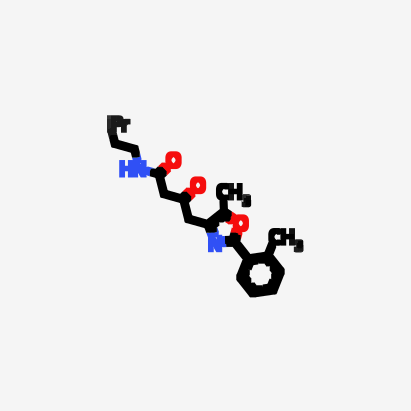 Cc1ccccc1-c1nc(CC(=O)CC(=O)NCCC(C)C)c(C)o1